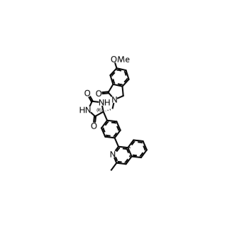 COc1ccc2c(c1)C(=O)N(C[C@@]1(c3ccc(-c4nc(C)cc5ccccc45)cc3)NC(=O)NC1=O)C2